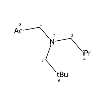 CC(=O)CN(CC(C)C)CC(C)(C)C